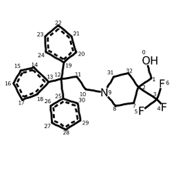 OCC1(C(F)(F)F)CCN(CCC(c2ccccc2)(c2ccccc2)c2ccccc2)CC1